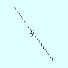 CCCCCC=CCC=CCC=CCC=CCCCC(=O)OCCCCCCCCCCCCCCCCC